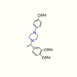 COc1ccc(N2CCN([C@H](C)c3ccc(OC)c(OC)c3)CC2)cc1